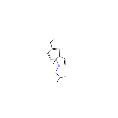 CCC1=CC2C=CN(CC(C)C)C2(C)C=C1